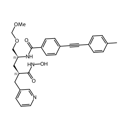 COCOC[C@H](C[C@H](Cc1cccnc1)C(=O)NO)NC(=O)c1ccc(C#Cc2ccc(C)cc2)cc1